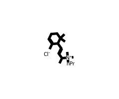 CCC[N+](C)(C)C(C)C=CC1C(C)=CCCC1(C)C.[Cl-]